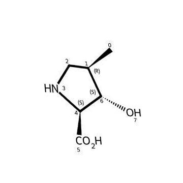 C[C@@H]1CN[C@H](C(=O)O)[C@H]1O